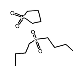 CCCCS(=O)(=O)CCCC.O=S1(=O)CCCC1